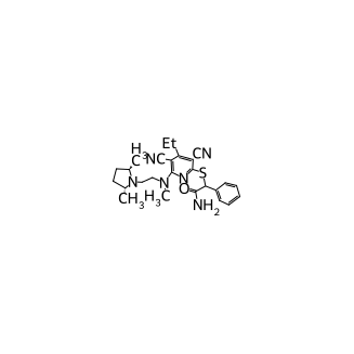 CCc1c(C#N)c(SC(C(N)=O)c2ccccc2)nc(N(C)CCN2[C@H](C)CC[C@H]2C)c1C#N